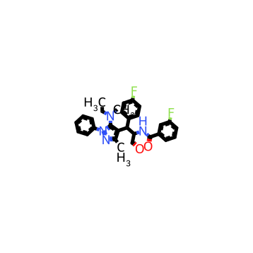 CCN(C)c1c(C(c2ccc(F)cc2)C(C=O)NC(=O)c2cccc(F)c2)c(C)nn1-c1ccccc1